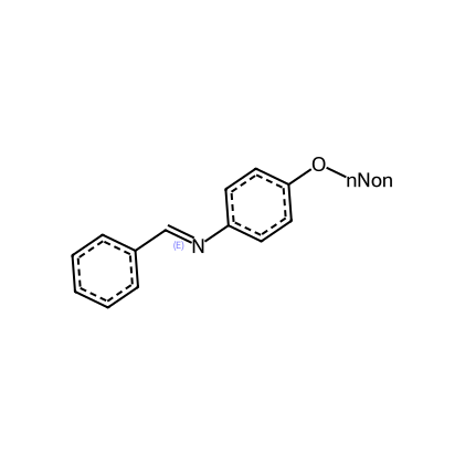 CCCCCCCCCOc1ccc(/N=C/c2ccccc2)cc1